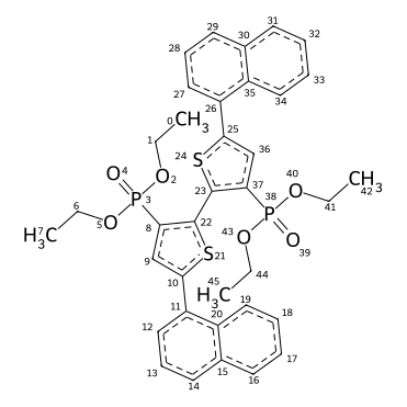 CCOP(=O)(OCC)c1cc(-c2cccc3ccccc23)sc1-c1sc(-c2cccc3ccccc23)cc1P(=O)(OCC)OCC